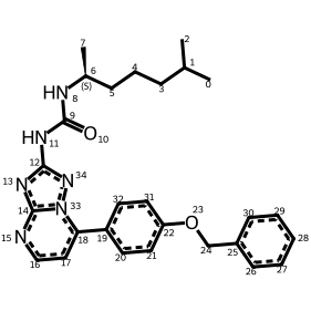 CC(C)CCC[C@H](C)NC(=O)Nc1nc2nccc(-c3ccc(OCc4ccccc4)cc3)n2n1